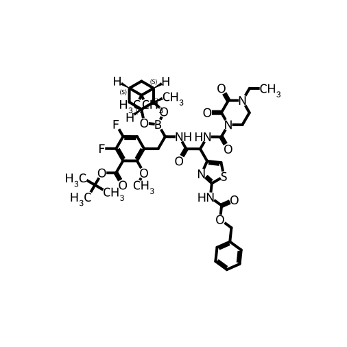 CCN1CCN(C(=O)NC(C(=O)NC(Cc2cc(F)c(F)c(C(=O)OC(C)(C)C)c2OC)B2O[C@@H]3C[C@@H]4C[C@@H](C4(C)C)[C@]3(C)O2)c2csc(NC(=O)OCc3ccccc3)n2)C(=O)C1=O